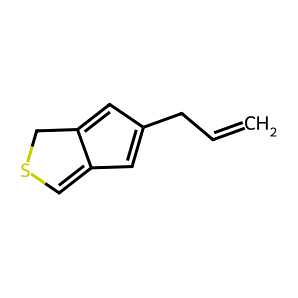 C=CCC1=CC2=CSCC2=C1